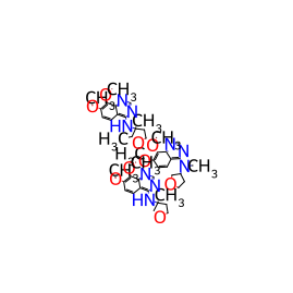 COc1ccc2c(N(C)[C@H]3CCOC3)ncnc2c1OC.COc1ccc2c(NC3(C)CCOC3)ncnc2c1OC.COc1ccc2c(NC3(C)CCOC3C)ncnc2c1OC